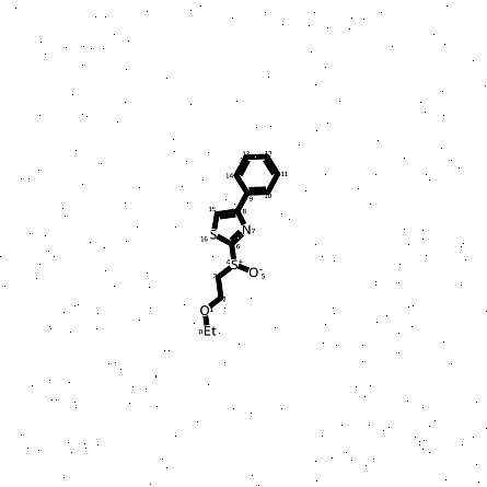 CCOCC[S+]([O-])c1nc(-c2ccccc2)cs1